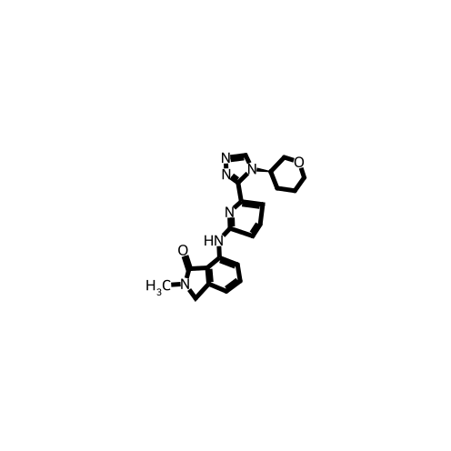 CN1Cc2cccc(Nc3cccc(-c4nncn4[C@@H]4CCCOC4)n3)c2C1=O